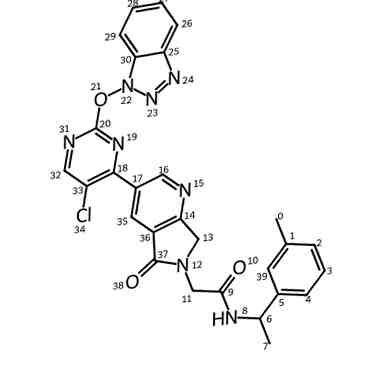 Cc1cccc(C(C)NC(=O)CN2Cc3ncc(-c4nc(On5nnc6ccccc65)ncc4Cl)cc3C2=O)c1